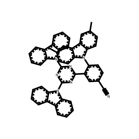 Cc1ccc2c(c1)c1cc(C)ccc1n2-c1ccc(C#N)cc1-c1nc(-n2c3ccccc3c3ccccc32)nc(-n2c3ccccc3c3ccccc32)n1